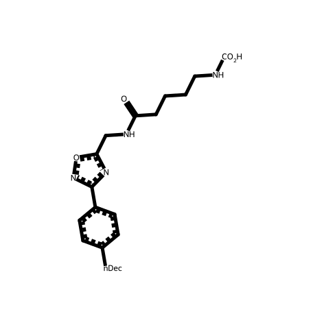 CCCCCCCCCCc1ccc(-c2noc(CNC(=O)CCCCNC(=O)O)n2)cc1